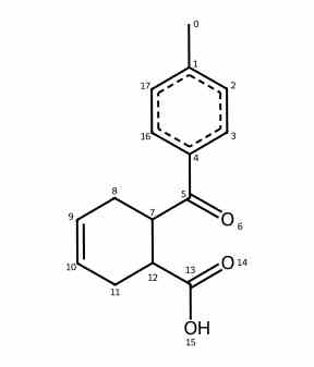 Cc1ccc(C(=O)C2CC=CCC2C(=O)O)cc1